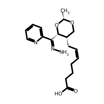 C[C@@H]1OC[C@H](C/C=C\CCCC(=O)O)[C@H](/C(=N\N)c2ccccn2)O1